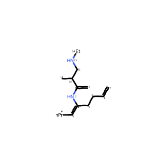 C=CCC/C(=C/CCC)NC(=C)C(C)CNCC